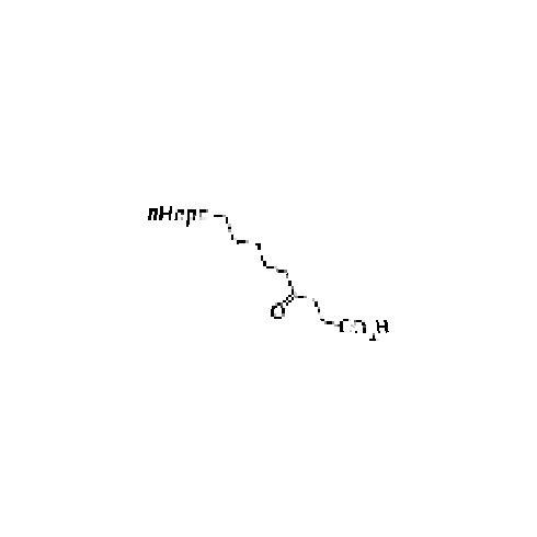 CCCCCCCCCCCCC(=O)CCC(=O)O